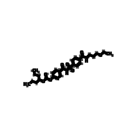 CCCC(CCC)OC(=O)Oc1ccc(C(=O)NS(=O)(=O)c2ccc(C(=O)NCCCOCC)cc2)cn1